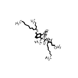 CCCCCCCC(CCCC)NC(=O)OC(C)c1ccc(CSC(CCCC)CCCCCCC)cc1[N+](=O)[O-]